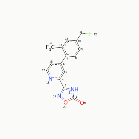 O=c1[nH]c(-c2cc(-c3ccc(CF)cc3C(F)(F)F)ccn2)no1